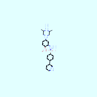 COc1ccc(N2CC(C)NC(C)C2)cc1NS(=O)(=O)c1ccc(-c2cccnc2)cc1